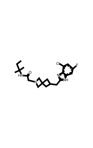 CCC(C)(C)NC(=O)CN1CC2(CC(Cc3nc4c(Cl)cc(F)cc4[nH]3)C2)C1